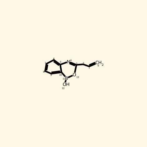 C=CCC1=Nc2ccccc2B(O)O1